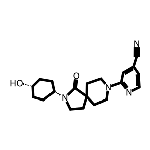 N#Cc1ccnc(N2CCC3(CC2)CCN([C@H]2CC[C@@H](O)CC2)C3=O)c1